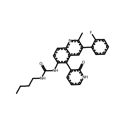 CCCCNC(=O)Nc1ccc2nc(C)c(-c3ccccc3F)cc2c1-c1ccc[nH]c1=O